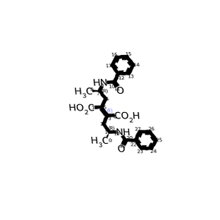 C[C@H](C/C(C(=O)O)=C(/C[C@@H](C)NC(=O)c1ccccc1)C(=O)O)NC(=O)c1ccccc1